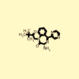 CC(C)(C)C(=O)CN1C(=O)[C@@H](N)N=C(c2cnccn2)c2ccccc21